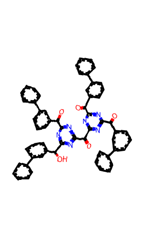 O=C(c1cccc(-c2ccccc2)c1)c1nc(C(=O)c2cccc(-c3ccccc3)c2)nc(C(=O)c2nc(C(=O)c3cccc(-c4ccccc4)c3)nc(C(O)c3cccc(-c4ccccc4)c3)n2)n1